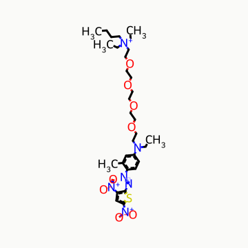 CCCC[N+](CC)(CC)CCOCCOCCOCCOCCN(CC)c1ccc(/N=N/c2sc([N+](=O)[O-])cc2[N+](=O)[O-])c(C)c1